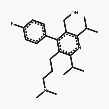 CC(C)c1nc(C(C)C)c(CCCN(C)C)c(-c2ccc(F)cc2)c1CO